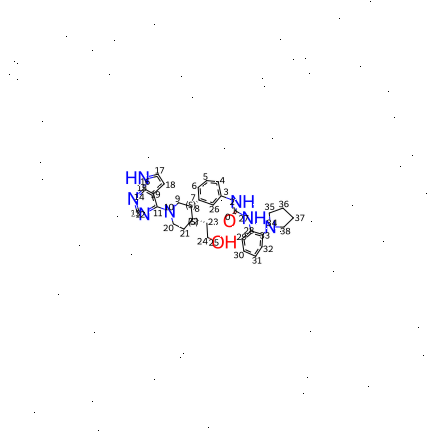 O=C(Nc1cccc([C@H]2CN(c3ncnc4[nH]ccc34)CC[C@H]2CCO)c1)Nc1ccccc1N1CCCC1